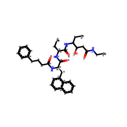 CCC(C)CNC(=O)CC(O)C(CC(C)C)NC(=O)[C@H](CC(C)C)NC(=O)[C@H](Cc1cccc2ccccc12)NC(=O)CCCc1ccccc1